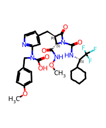 CONC(=O)[C@@H]1[C@@H](Cc2ccnc(N(Cc3ccc(OC)cc3)C(=O)O)c2)C(=O)N1C(=O)N[C@@H](C1CCCCC1)C(F)(F)F